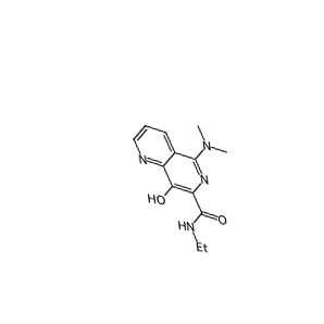 CCNC(=O)c1nc(N(C)C)c2cccnc2c1O